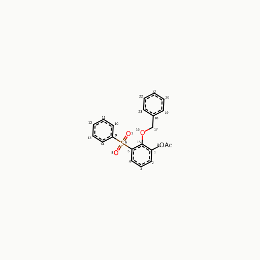 CC(=O)Oc1cccc(S(=O)(=O)c2ccccc2)c1OCc1ccccc1